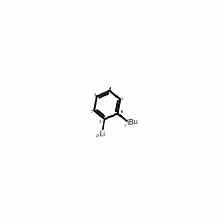 [Li][c]1ccccc1C(C)CC